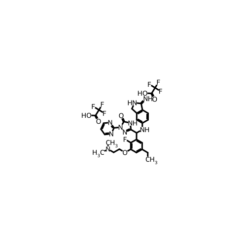 CCc1cc(OCCN(C)C)c(F)c(C(Nc2ccc3c(c2)CNC3=N)c2nn(-c3ncccn3)c(=O)[nH]2)c1.O=C(O)C(F)(F)F.O=C(O)C(F)(F)F